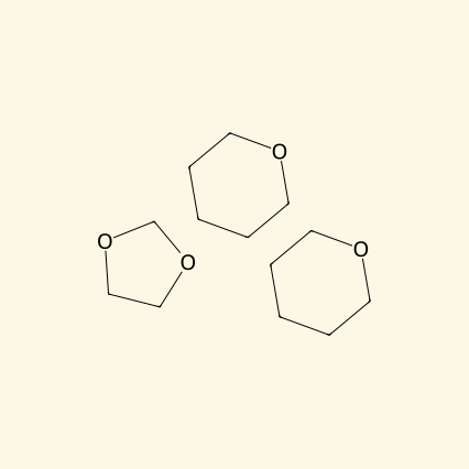 C1CCOCC1.C1CCOCC1.C1COCO1